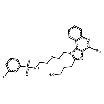 CCCCc1nc2c(N)nc3ccccc3c2n1CCOCCNS(=O)(=O)c1cccc(F)c1